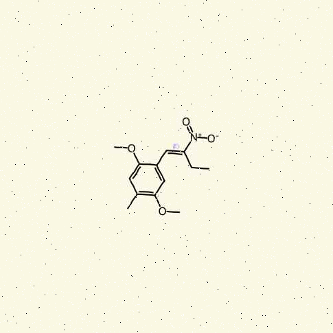 CC/C(=C\c1cc(OC)c(C)cc1OC)[N+](=O)[O-]